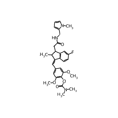 COc1cc(/C=C2\c3ccc(F)cc3C(CC(=O)NCc3cccn3C)C2C)cc(OC)c1OC(=O)N(C)C